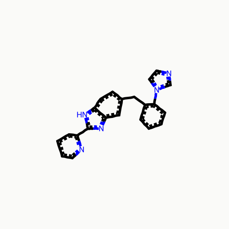 c1ccc(-c2nc3cc(Cc4ccccc4-n4ccnc4)ccc3[nH]2)nc1